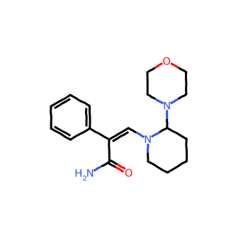 NC(=O)C(=CN1CCCCC1N1CCOCC1)c1ccccc1